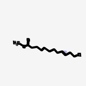 COC(=O)CCCCCCC/C=C/CCCl